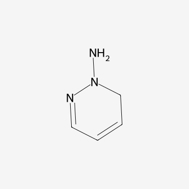 NN1CC=CC=N1